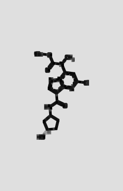 CN(C(=O)OC(C)(C)C)c1cc(Cl)nc2c(C(=O)NC3CC[C@H](O)C3)cnn12